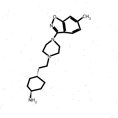 Cc1ccc2c(N3CCN(CC[C@H]4CC[C@H](N)CC4)CC3)noc2c1